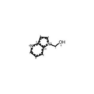 OCn1ccc2ncccc21